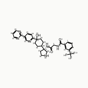 O=C(CNC(=O)c1cccc(C(F)(F)F)c1)N[C@@]1(C2CCC(O)(c3ccc(-c4ncccn4)cn3)CC2)CCNC1